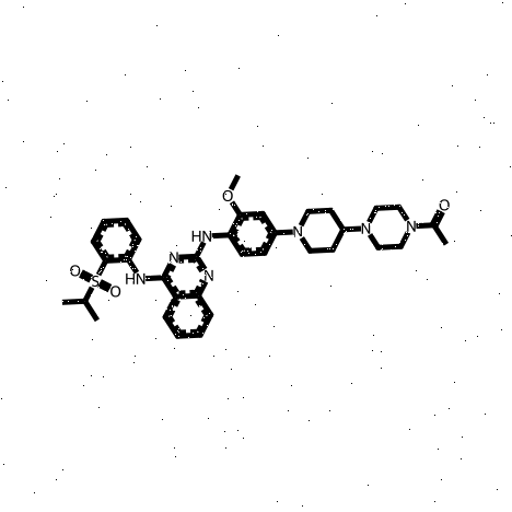 COc1cc(N2CCC(N3CCN(C(C)=O)CC3)CC2)ccc1Nc1nc(Nc2ccccc2S(=O)(=O)C(C)C)c2ccccc2n1